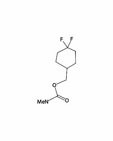 CNC(=O)OCC1CCC(F)(F)CC1